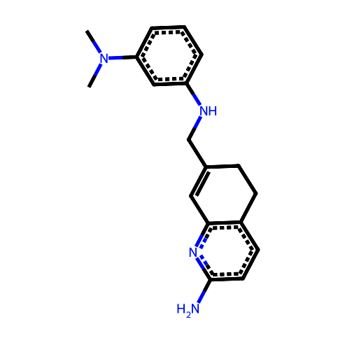 CN(C)c1cccc(NCC2=Cc3nc(N)ccc3CC2)c1